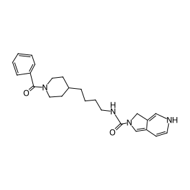 O=C(NCCCCC1CCN(C(=O)c2ccccc2)CC1)N1C=C2C=CNC=C2C1